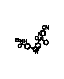 CCNC(=O)c1ccc(-c2cnn3ccc(C(=O)N(c4ccc(C#N)cn4)C4CCCC4)cc23)cc1